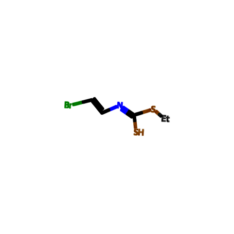 CCS/C(S)=N/C=C/Br